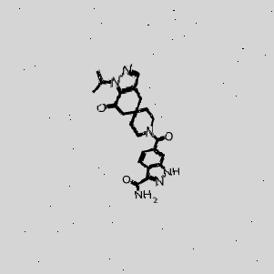 CC(C)n1ncc2c1C(=O)CC1(CCN(C(=O)c3ccc4c(C(N)=O)n[nH]c4c3)CC1)C2